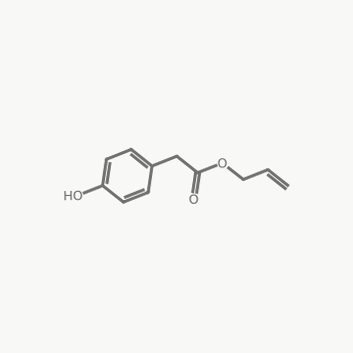 C=CCOC(=O)Cc1ccc(O)cc1